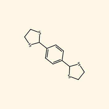 c1cc(C2SCCS2)ccc1C1SCCS1